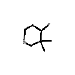 CC1(C)COCCC1F